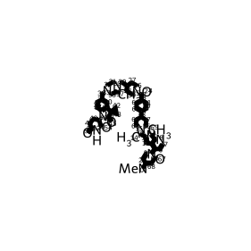 CNc1ccn(-c2ccnc3c2cc([C@H](C)N2CCC(c4ccc(C(=O)N5CCC(CN6CCN(Cc7ccc8c(c7)C7(CC7)C(=O)N8C7CCC(=O)NC7=O)C[C@@H]6C)CC5)cc4)CC2)n3C)c(=O)c1